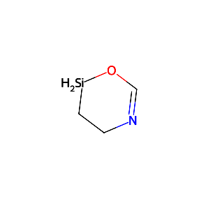 C1=NCC[SiH2]O1